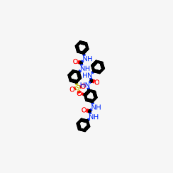 O=C(Nc1ccccc1)Nc1cccc(S(=O)(=O)Oc2cc(NC(=O)Nc3ccccc3)ccc2NC(=O)Nc2ccccc2)c1